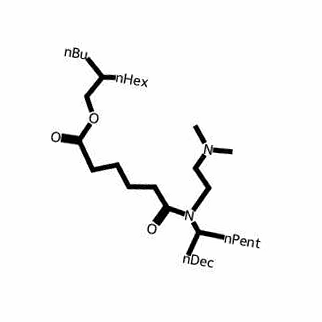 CCCCCCCCCCC(CCCCC)N(CCN(C)C)C(=O)CCCCC(=O)OCC(CCCC)CCCCCC